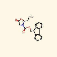 CC(C)(C)CC1OC(=O)CN1C(=O)OCC1c2ccccc2-c2ccccc21